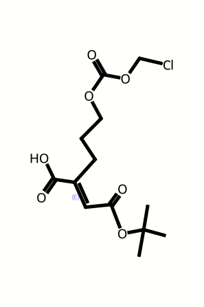 CC(C)(C)OC(=O)/C=C(\CCCOC(=O)OCCl)C(=O)O